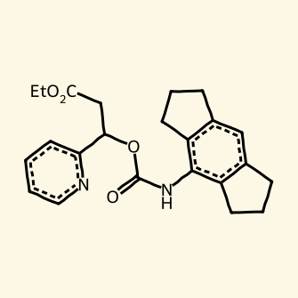 CCOC(=O)CC(OC(=O)Nc1c2c(cc3c1CCC3)CCC2)c1ccccn1